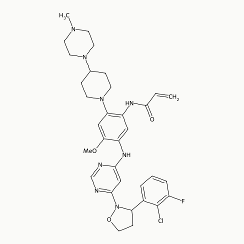 C=CC(=O)Nc1cc(Nc2cc(N3OCCC3c3cccc(F)c3Cl)ncn2)c(OC)cc1N1CCC(N2CCN(C)CC2)CC1